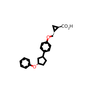 O=C(O)[C@@H]1C[C@H]1COc1ccc(C2CC[C@H](Oc3ccccc3)C2)cc1